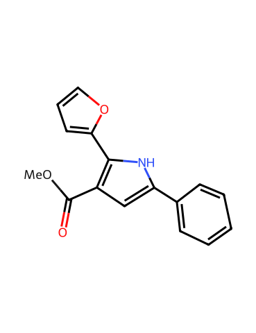 COC(=O)c1cc(-c2ccccc2)[nH]c1-c1ccco1